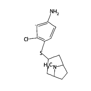 CN1C2CCC1CC(Sc1ccc(N)[c]c1Cl)C2